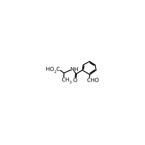 CC(NC(=O)c1ccccc1C=O)C(=O)O